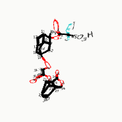 CC(C)C1(OC(=O)C(F)(F)S(=O)(=O)O)C2CC3CC1CC(OCC(=O)OC1C4CC5C(=O)OC1C5C4)(C3)C2